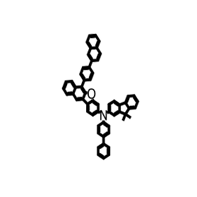 CC1(C)c2ccccc2-c2ccc(N(c3ccc(-c4ccccc4)cc3)c3ccc4c(c3)oc3c(-c5ccc(-c6ccc7ccccc7c6)cc5)c5ccccc5cc34)cc21